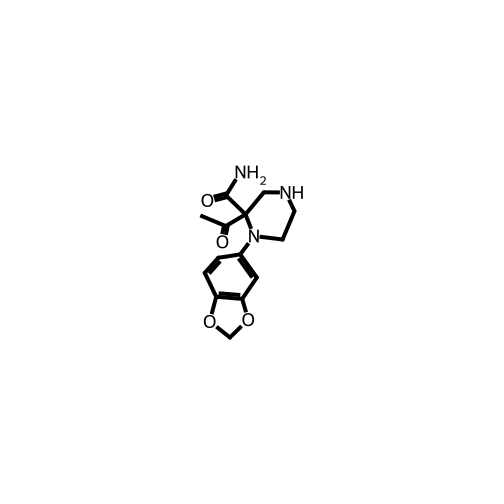 CC(=O)C1(C(N)=O)CNCCN1c1ccc2c(c1)OCO2